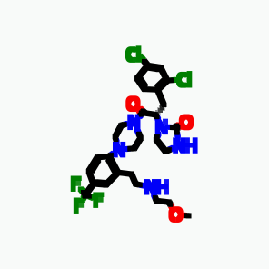 COCCNCCc1cc(C(F)(F)F)ccc1N1CCN(C(=O)[C@H](Cc2ccc(Cl)cc2Cl)N2CCNC2=O)CC1